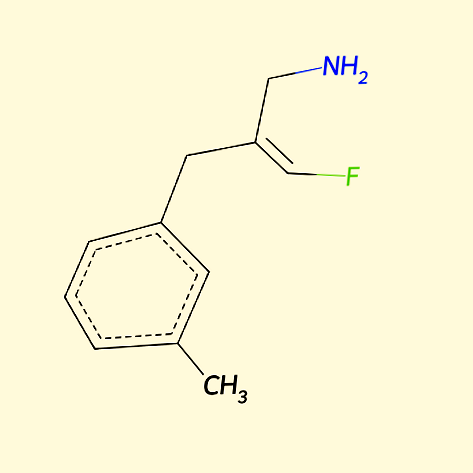 Cc1cccc(CC(=CF)CN)c1